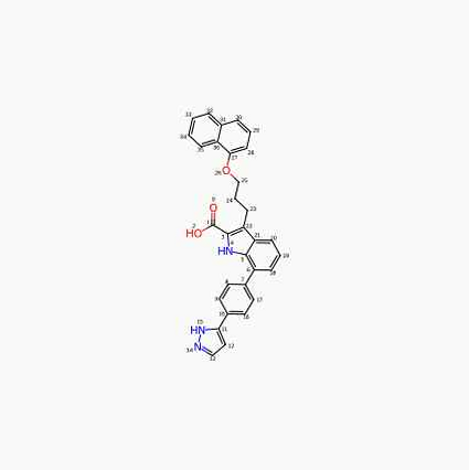 O=C(O)c1[nH]c2c(-c3ccc(-c4ccn[nH]4)cc3)cccc2c1CCCOc1cccc2ccccc12